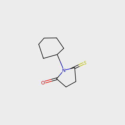 O=C1CCC(=S)N1C1CCCCC1